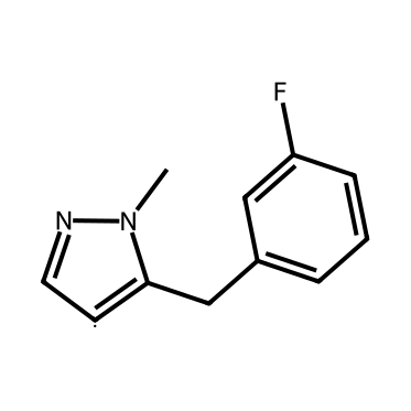 Cn1nc[c]c1Cc1cccc(F)c1